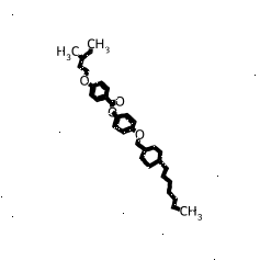 CCCCCCCC1CCC(COc2ccc(OC(=O)c3ccc(OCCC(C)CC)cc3)cc2)CC1